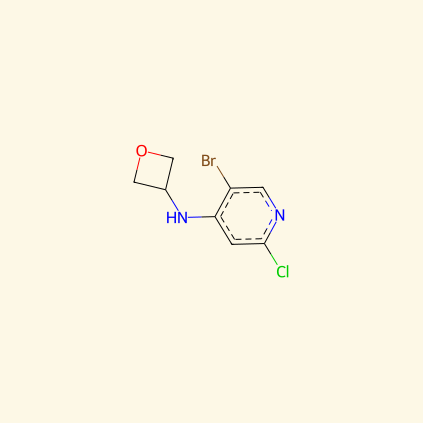 Clc1cc(NC2COC2)c(Br)cn1